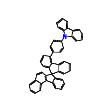 c1ccc2c(c1)-c1c(-c3ccc(-n4c5ccccc5c5ccccc54)cc3)cccc1C21c2ccccc2-c2c1ccc1ccccc21